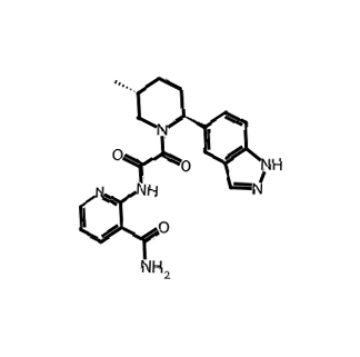 C[C@@H]1CC[C@@H](c2ccc3[nH]ncc3c2)N(C(=O)C(=O)Nc2ncccc2C(N)=O)C1